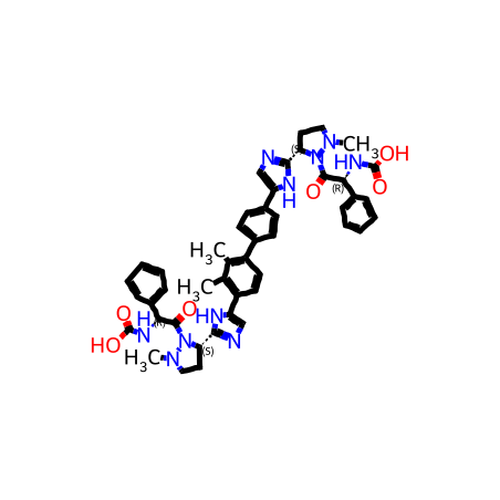 Cc1c(-c2ccc(-c3cnc([C@@H]4CCN(C)N4C(=O)[C@H](NC(=O)O)c4ccccc4)[nH]3)cc2)ccc(-c2cnc([C@@H]3CCN(C)N3C(=O)[C@H](NC(=O)O)c3ccccc3)[nH]2)c1C